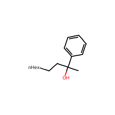 CCCCCCCCC(C)(O)c1ccccc1